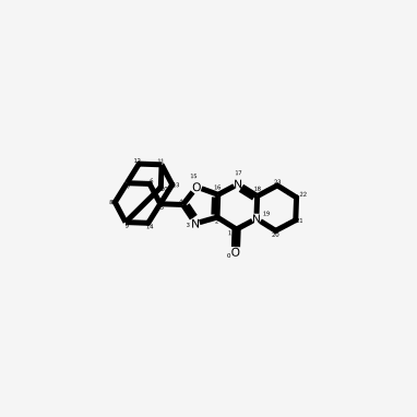 O=c1c2nc(C34CC5CC(CC(C5)C3)C4)oc2nc2n1CCCC2